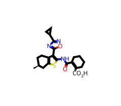 C[C@H]1CCc2c(sc(NC(=O)C3=C(C(=O)O)CCCC3)c2-c2nc(C3CC3)no2)C1